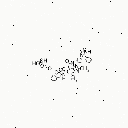 Cc1nc(C)c2c(OC(=O)NC(Cc3ccccc3)C(=O)OCCOCCON(O)O)cc(=O)n(Cc3ccc(-c4ccccc4-c4nnn[nH]4)cc3)c2n1